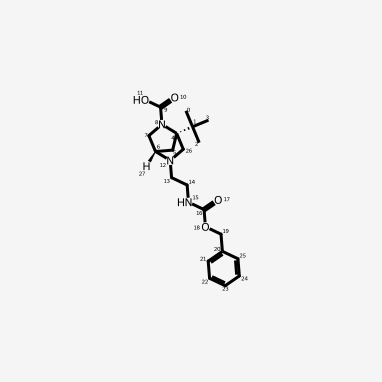 CC(C)(C)[C@]12C[C@@H](CN1C(=O)O)N(CCNC(=O)OCc1ccccc1)C2